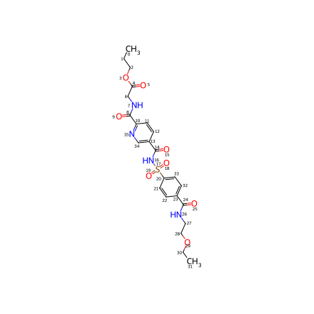 CCCOC(=O)CNC(=O)c1ccc(C(=O)NS(=O)(=O)c2ccc(C(=O)NCCOCC)cc2)cn1